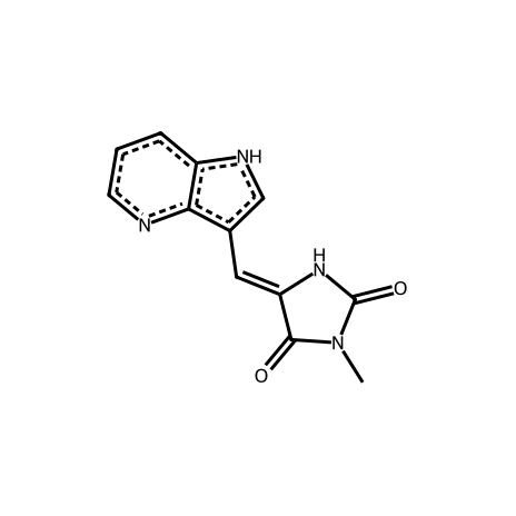 CN1C(=O)NC(=Cc2c[nH]c3cccnc23)C1=O